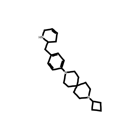 C1=CCC(Cc2ccc(N3CCC4(CC3)CCN(C3CCC3)CC4)cc2)NC1